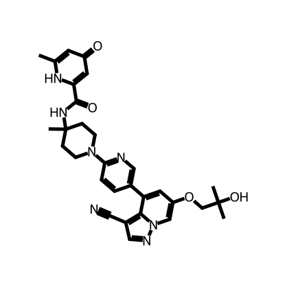 Cc1cc(=O)cc(C(=O)NC2(C)CCN(c3ccc(-c4cc(OCC(C)(C)O)cn5ncc(C#N)c45)cn3)CC2)[nH]1